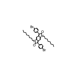 CCCCCCCCN1C(=O)C(c2ccc(Br)cc2)=c2cc3c(cc21)=C(c1ccc(Br)cc1)C(=O)N3CCCCCCCC